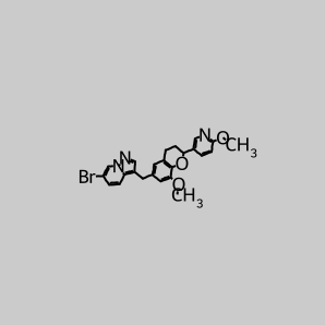 COc1ccc(C2CCc3cc(Cc4cnn5cc(Br)ccc45)cc(OC)c3O2)cn1